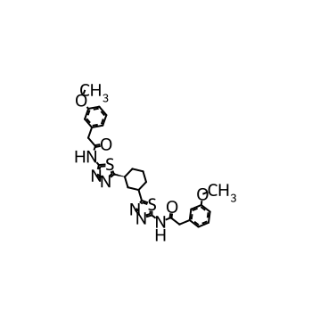 COc1cccc(CC(=O)Nc2nnc(C3CCC[C@H](c4nnc(NC(=O)Cc5cccc(OC)c5)s4)C3)s2)c1